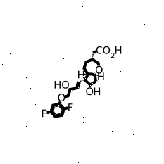 O=C(O)C[C@H]1CC[C@@H]2[C@@H](/C=C/[C@@H](O)COc3cc(F)ccc3F)[C@H](O)C[C@@H]2OC1